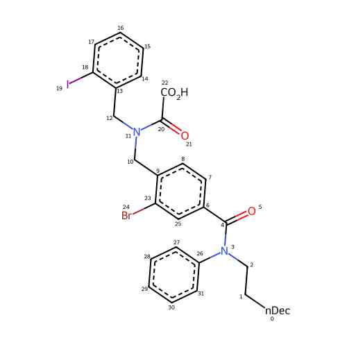 CCCCCCCCCCCCN(C(=O)c1ccc(CN(Cc2ccccc2I)C(=O)C(=O)O)c(Br)c1)c1ccccc1